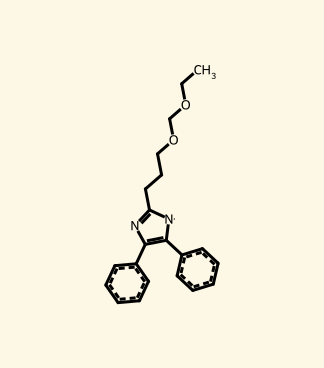 CCOCOCCCC1=NC(c2ccccc2)=C(c2ccccc2)[N]1